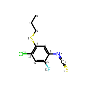 CCCSc1cc(N=C=S)c(F)cc1Cl